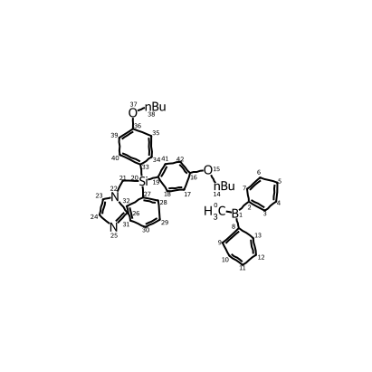 CB(c1ccccc1)c1ccccc1.CCCCOc1ccc([Si](Cn2ccnc2)(c2ccccc2)c2ccc(OCCCC)cc2)cc1